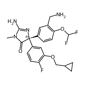 CN1C(=O)[C@@](c2ccc(OC(F)F)c(CN)c2)(c2ccc(F)c(OCC3CC3)c2)N=C1N